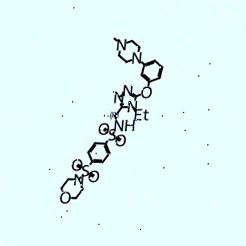 CCn1c(Oc2cccc(N3CCN(C)CC3)c2)nnc1[C@@H](C)NS(=O)(=O)c1ccc(S(=O)(=O)N2CCOCC2)cc1